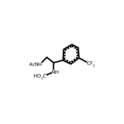 CC(=O)NCC(NC(=O)O)c1cccc(C(F)(F)F)c1